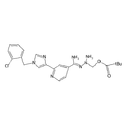 CC(C)(C)C(=O)OCN(N)/N=C(\N)c1ccnc(-c2cn(Cc3ccccc3Cl)cn2)c1